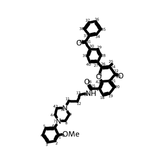 COc1ccccc1N1CCN(CCCNC(=O)c2cccc3c(=O)c(C)c(-c4ccc(C(=O)c5ccccc5)cc4)oc23)CC1